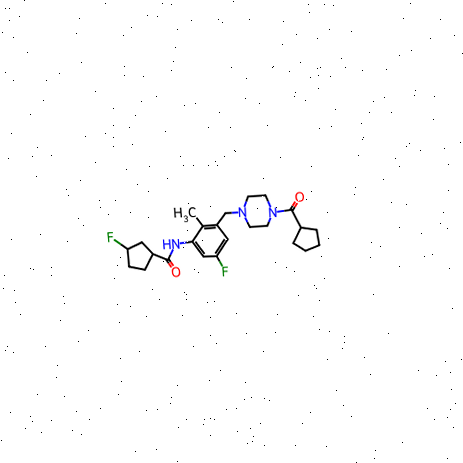 Cc1c(CN2CCN(C(=O)C3CCCC3)CC2)cc(F)cc1NC(=O)C1CCC(F)C1